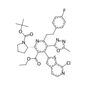 CCOC(=O)c1c([C@@H]2CCCN2C(=O)OC(C)(C)C)nc(CCc2ccc(F)cc2)c(-c2nnc(C)o2)c1-c1cc2ccnc(Cl)c2s1